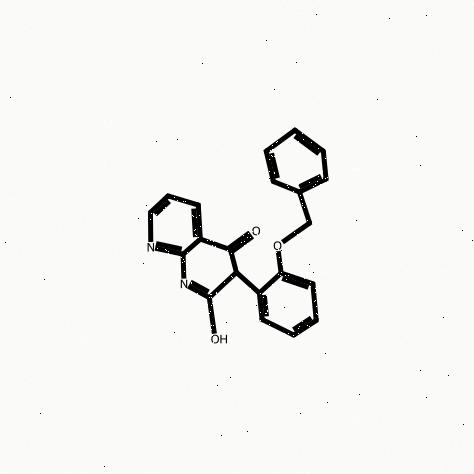 O=C1c2cccnc2N=C(O)C1c1ccccc1OCc1ccccc1